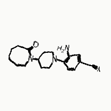 N#Cc1ccc(N2CCC(N3CCCCCC3=O)CC2)c(N)c1